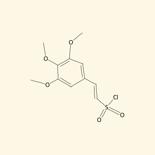 COc1cc(C=CS(=O)(=O)Cl)cc(OC)c1OC